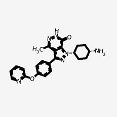 Cc1n[nH]c(=O)c2c1c(-c1ccc(Oc3ccccn3)cc1)nn2[C@H]1CC[C@@H](N)CC1